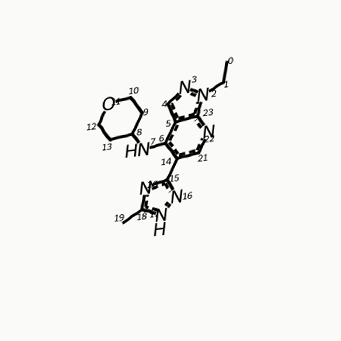 CCn1ncc2c(NC3CCOCC3)c(-c3n[nH]c(C)n3)cnc21